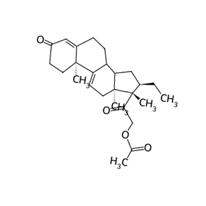 CC[C@@H]1CC2C3CCC4=CC(=O)CC[C@]4(C)C3=CC[C@]2(C)[C@@]1(C)C(=O)COC(C)=O